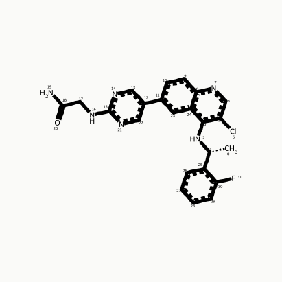 C[C@@H](Nc1c(Cl)cnc2ccc(-c3cnc(NCC(N)=O)nc3)cc12)c1ccccc1F